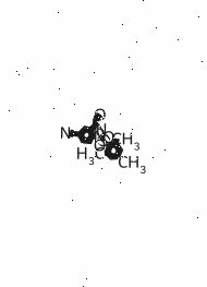 Cc1cc(C)c(S(=O)(=O)n2nc(C=O)c3cc(C#N)ccc32)c(C)c1